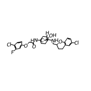 O=C(COc1ccc(Cl)c(F)c1)NC12CCC(NCC3CCc4cc(Cl)ccc4O3)(CC1)[C@@H](O)C2